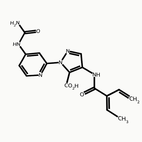 C=C/C(=C\C)C(=O)Nc1cnn(-c2cc(NC(N)=O)ccn2)c1C(=O)O